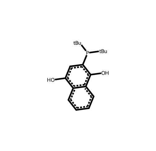 CC(C)(C)P(c1cc(O)c2ccccc2c1O)C(C)(C)C